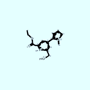 CCOC(=O)c1cc(-c2cccn2C)cc(CO)n1